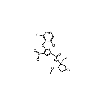 CC[C@]1(NC(=O)c2cc([N+](=O)[O-])c(Sc3c(Cl)cncc3Cl)s2)CNC[C@@H]1OC